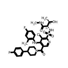 CNC(=O)[C@@H](NS(=O)(=O)c1ncc(C(=O)N2CCC(c3ccc(F)cc3)CC2)c(Nc2ccc(F)cc2C)c1Cl)[C@@H](C)O